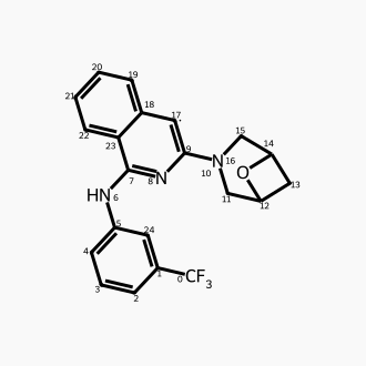 FC(F)(F)c1cccc(Nc2nc(N3CC4CC(C3)O4)[c]c3ccccc23)c1